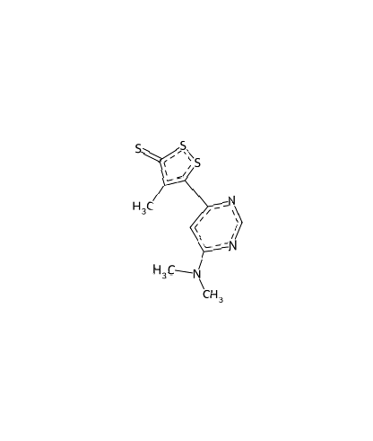 Cc1c(-c2cc(N(C)C)ncn2)ssc1=S